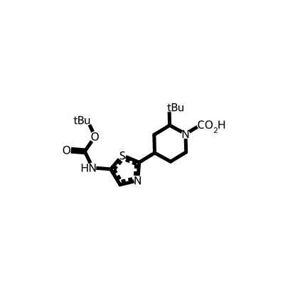 CC(C)(C)OC(=O)Nc1cnc(C2CCN(C(=O)O)C(C(C)(C)C)C2)s1